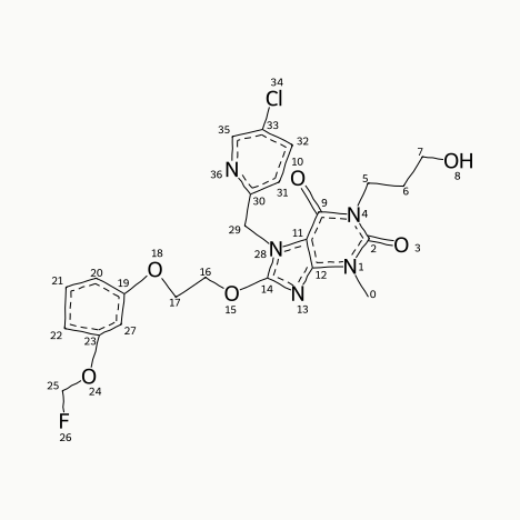 Cn1c(=O)n(CCCO)c(=O)c2c1nc(OCCOc1cccc(OCF)c1)n2Cc1ccc(Cl)cn1